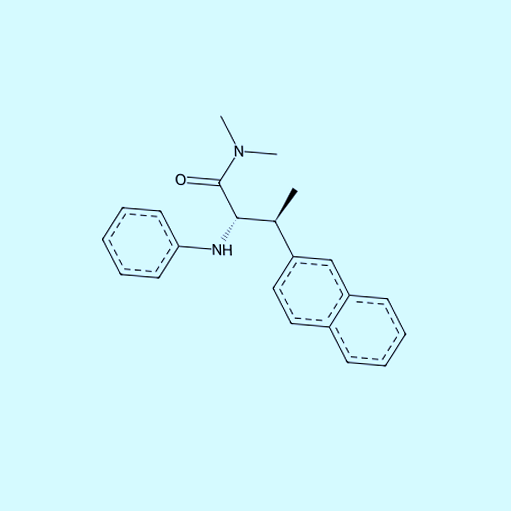 C[C@@H](c1ccc2ccccc2c1)[C@H](Nc1ccccc1)C(=O)N(C)C